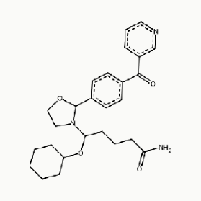 NC(=O)CCCC(OC1CCCCC1)N1CCOC1c1ccc(C(=O)c2cccnc2)cc1